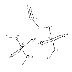 C#CCOS(=O)(=O)CC.COP([O])(=O)OC